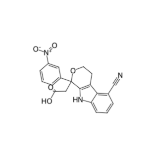 N#Cc1cccc2[nH]c3c(c12)CCOC3(CC(=O)O)c1cccc([N+](=O)[O-])c1